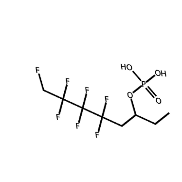 CCC(CC(F)(F)C(F)(F)C(F)(F)CF)OP(=O)(O)O